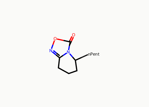 CCCCCC1CCCc2noc(=O)n21